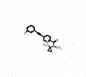 CN(C(=O)c1ccc(C#Cc2cccc(F)c2)cn1)C1(C)CC1